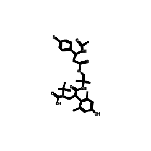 CC(=O)NC(CC(=O)NCC(C)(C)NC(=O)C(CN(C(=O)O)C(C)(C)C)c1c(C)cc(O)cc1C)c1ccc(F)cc1